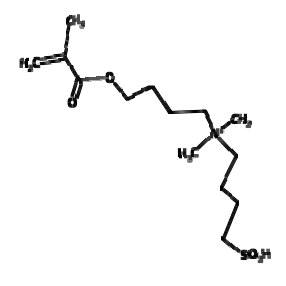 C=C(C)C(=O)OCCCC[N+](C)(C)CCCCS(=O)(=O)O